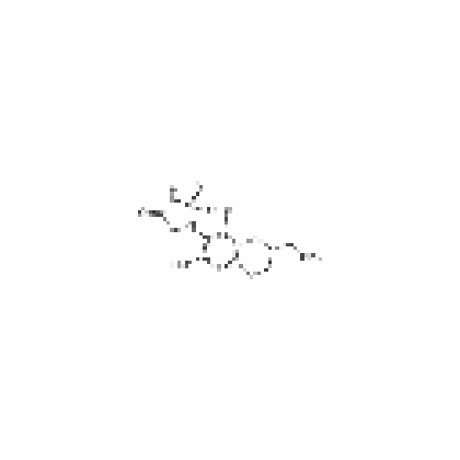 NCC1CCc2cc(O)c(N3CC(=O)NS3(=O)=O)c(F)c2C1